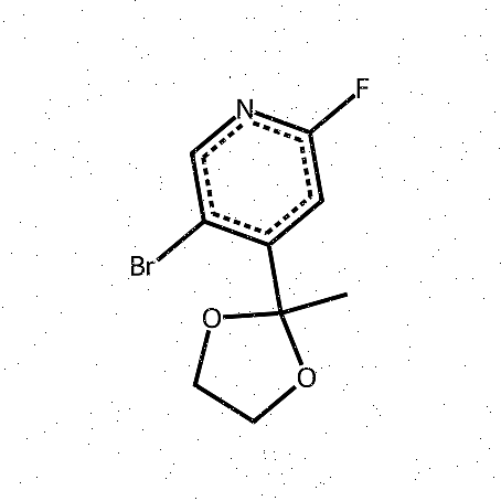 CC1(c2cc(F)ncc2Br)OCCO1